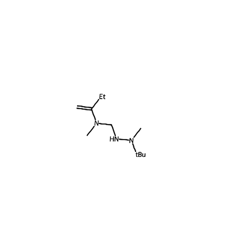 C=C(CC)N(C)CNN(C)C(C)(C)C